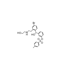 Cc1ccc(S(=O)(=O)Oc2cccc(C(O)c3ccc(Br)cc3CCNCCO)c2)cc1